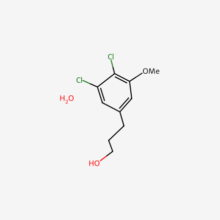 COc1cc(CCCO)cc(Cl)c1Cl.O